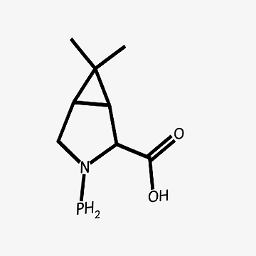 CC1(C)C2CN(P)C(C(=O)O)C21